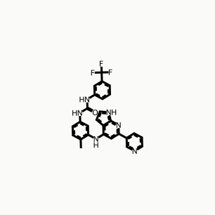 Cc1ccc(NC(=O)Nc2cccc(C(F)(F)F)c2)cc1Nc1cc(-c2cccnc2)nc2[nH]ccc12